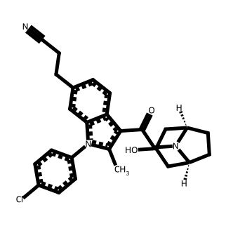 Cc1c(C(=O)CN2[C@@H]3CC[C@H]2CC(O)C3)c2ccc(CCC#N)cc2n1-c1ccc(Cl)cc1